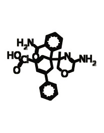 CC1(C2(c3ccccc3C(N)=O)C=C(Cl)C=C(c3ccccc3)C2)COCC(N)=N1.O=CO